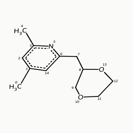 Cc1cc(C)nc(CC2COCCO2)c1